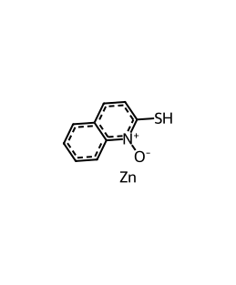 [O-][n+]1c(S)ccc2ccccc21.[Zn]